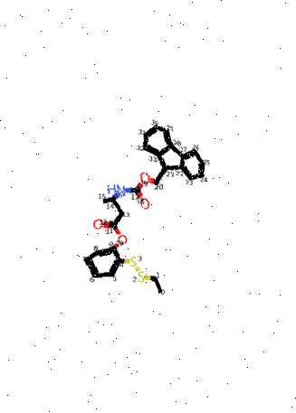 CCSSc1ccccc1OC(=O)CC(C)NC(=O)OCC1c2ccccc2-c2ccccc21